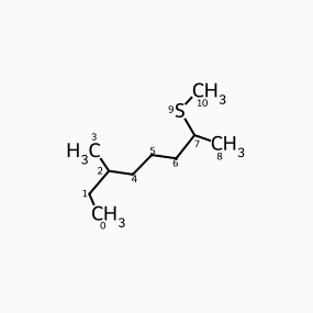 CCC(C)CCCC(C)SC